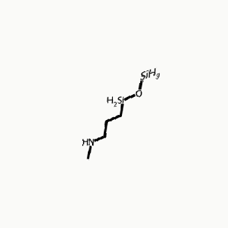 CNCCC[SiH2]O[SiH3]